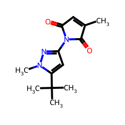 CC1=CC(=O)N(c2cc(C(C)(C)C)n(C)n2)C1=O